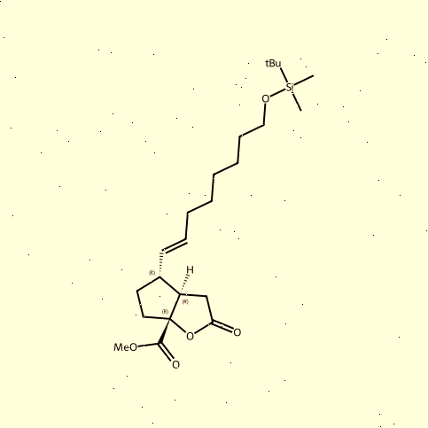 COC(=O)[C@@]12CC[C@H](C=CCCCCCCO[Si](C)(C)C(C)(C)C)[C@H]1CC(=O)O2